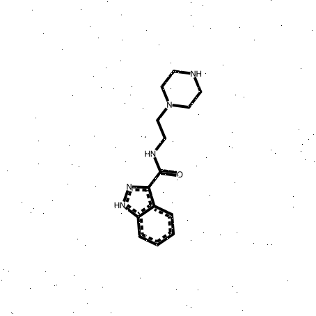 O=C(NCCN1CCNCC1)c1n[nH]c2ccccc12